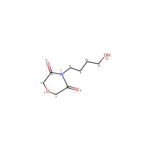 O=C1COCC(=O)N1CCCCO